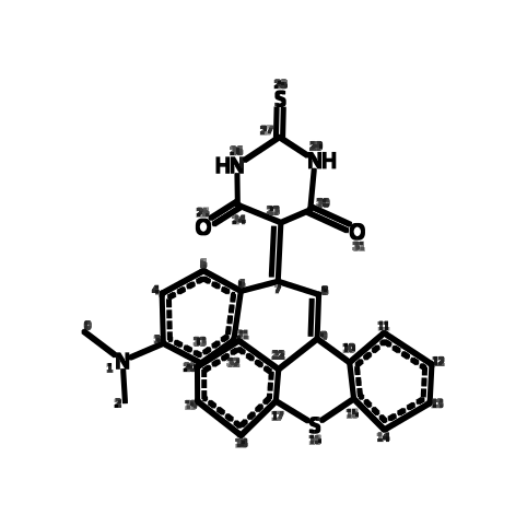 CN(C)c1ccc(C(C=C2c3ccccc3Sc3ccccc32)=C2C(=O)NC(=S)NC2=O)cc1